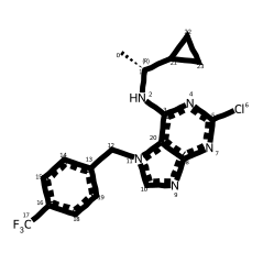 C[C@@H](Nc1nc(Cl)nc2ncn(Cc3ccc(C(F)(F)F)cc3)c12)C1CC1